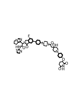 O=C1CCC(Oc2ccc(N3CCC(O)(CC(=O)N4CCN(c5ccc(-c6cc(F)c7c(c6)C(=O)N(C(C(=O)Nc6nccs6)c6ncn8c6CCC8)C7)cc5)CC4)CC3)cc2)C(=O)N1